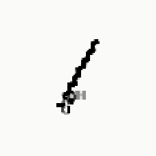 CCCCCCCCCCCCC1CN(C(C)=O)CN1